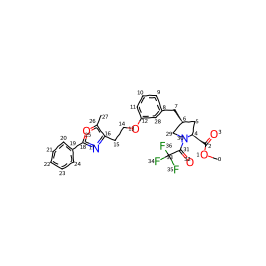 COC(=O)[C@@H]1C[C@H](Cc2cccc(OCCc3nc(-c4ccccc4)oc3C)c2)CN1C(=O)C(F)(F)F